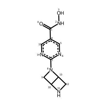 O=C(NO)c1cnc(N2CC3NCC32)nc1